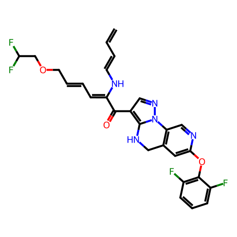 C=C/C=C/N/C(=C\C=C\COCC(F)F)C(=O)c1cnn2c1NCc1cc(Oc3c(F)cccc3F)ncc1-2